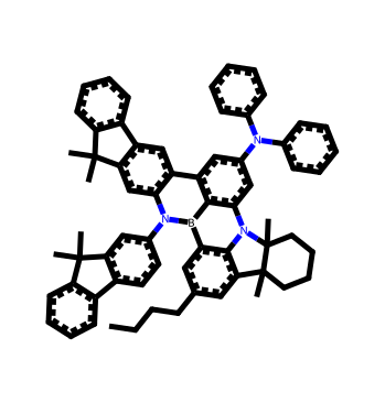 CCCCc1cc2c3c(c1)C1(C)CCCCC1(C)N3c1cc(N(c3ccccc3)c3ccccc3)cc3c1B2N(c1ccc2c(c1)C(C)(C)c1ccccc1-2)c1cc2c(cc1-3)-c1ccccc1C2(C)C